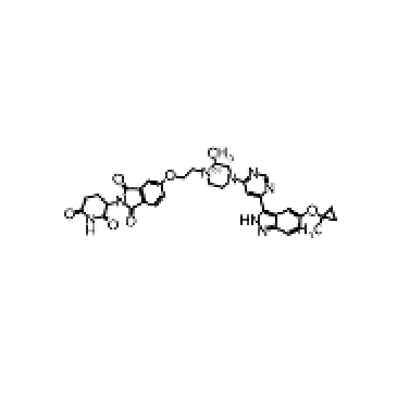 C[C@H]1CN(c2cc(-c3[nH]nc4ccc(OC5(C)CC5)cc34)ncn2)CCN1CCOc1ccc2c(c1)C(=O)N(C1CCC(=O)NC1=O)C2=O